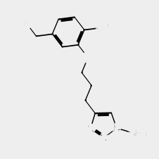 BCc1ccc(OC(C)=O)c(OCCCc2cn(CCCC)nn2)c1